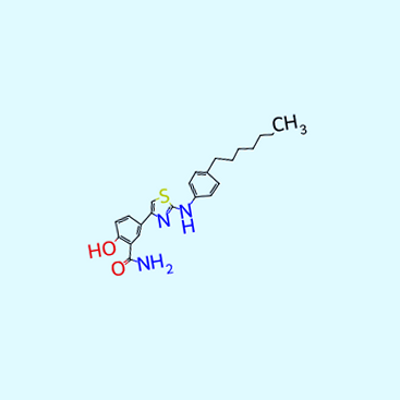 CCCCCCCc1ccc(Nc2nc(-c3ccc(O)c(C(N)=O)c3)cs2)cc1